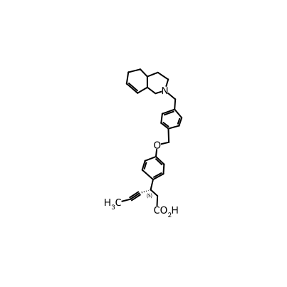 CC#C[C@@H](CC(=O)O)c1ccc(OCc2ccc(CN3CCC4CCC=CC4C3)cc2)cc1